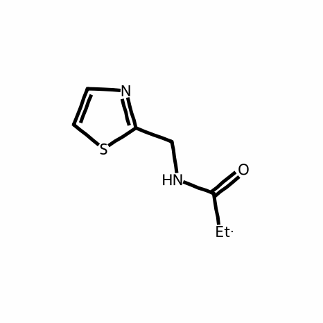 C[CH]C(=O)NCc1nccs1